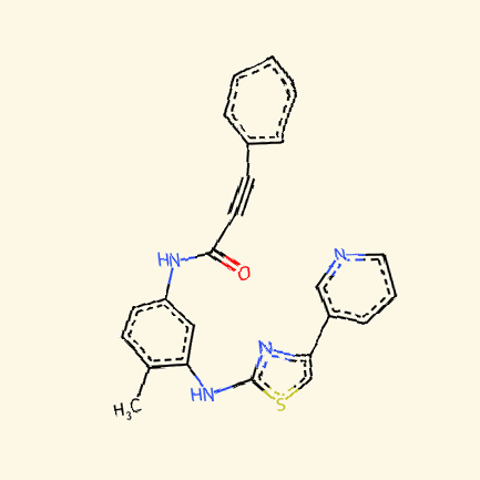 Cc1ccc(NC(=O)C#Cc2ccccc2)cc1Nc1nc(-c2cccnc2)cs1